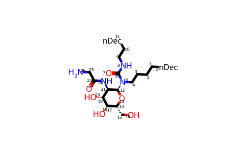 CCCCCCCCCCCCCCN(C(=O)NCCCCCCCCCCCC)[C@@H]1O[C@H](CO)[C@H](O)[C@H](O)[C@H]1NC(=O)CN